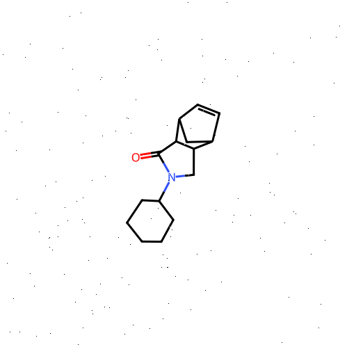 O=C1C2C3C=CC(C3)C2CN1C1CCCCC1